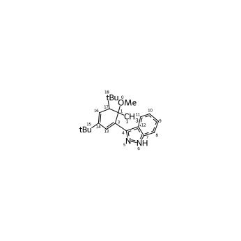 COC1(C)C(c2n[nH]c3ccccc23)=CC(C(C)(C)C)=CC1C(C)(C)C